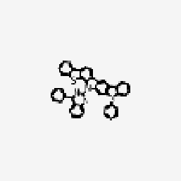 c1ccc(-c2nc(-n3c4cc5c(cc4c4ccc6c7ccccc7sc6c43)c3ccccc3n5-c3ccccc3)nc3ccccc23)cc1